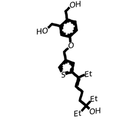 CC/C(=C\CCC(O)(CC)CC)c1cc(COc2ccc(CO)c(CO)c2)cs1